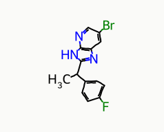 CC(c1ccc(F)cc1)c1nc2cc(Br)cnc2[nH]1